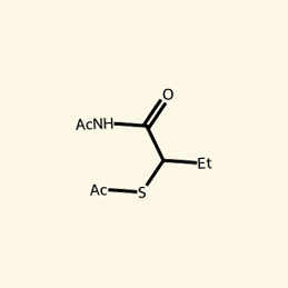 CCC(SC(C)=O)C(=O)NC(C)=O